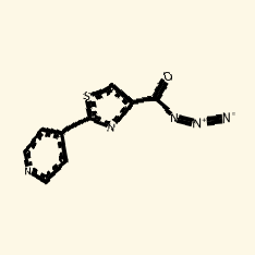 [N-]=[N+]=NC(=O)c1csc(-c2ccncc2)n1